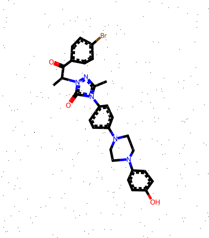 Cc1nn(C(C)C(=O)c2ccc(Br)cc2)c(=O)n1-c1ccc(N2CCN(c3ccc(O)cc3)CC2)cc1